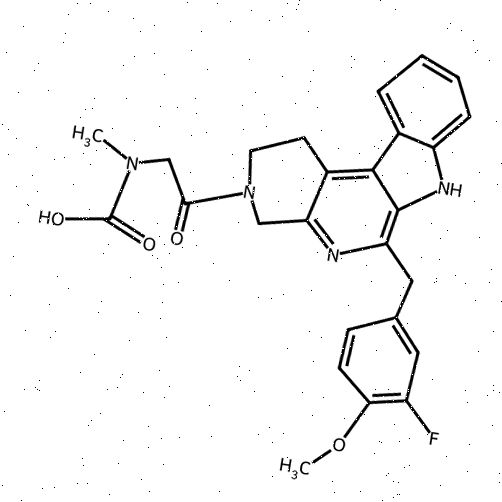 COc1ccc(Cc2nc3c(c4c2[nH]c2ccccc24)CCN(C(=O)CN(C)C(=O)O)C3)cc1F